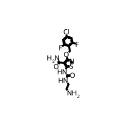 NCCNC(=O)Nc1snc(OCc2c(F)cc(Cl)cc2F)c1C(N)=O